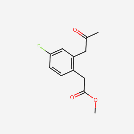 COC(=O)Cc1ccc(F)cc1CC(C)=O